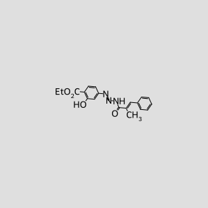 CCOC(=O)c1ccc(N=NNC(=O)C(C)=Cc2ccccc2)cc1O